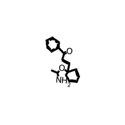 CC(N)OC1(C=CC(=O)c2ccccc2)C=CC=CC1